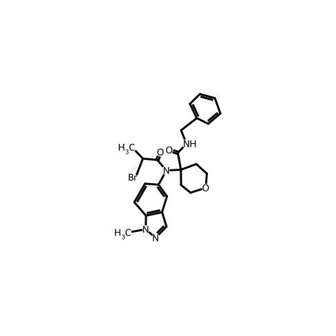 CC(Br)C(=O)N(c1ccc2c(cnn2C)c1)C1(C(=O)NCc2ccccc2)CCOCC1